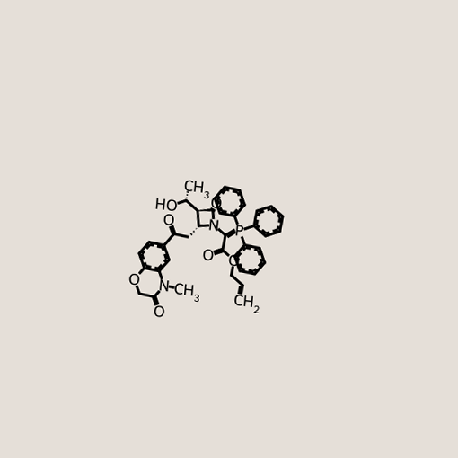 C=CCOC(=O)C(N1C(=O)[C@H]([C@@H](C)O)[C@H]1CC(=O)c1ccc2c(c1)N(C)C(=O)CO2)=P(c1ccccc1)(c1ccccc1)c1ccccc1